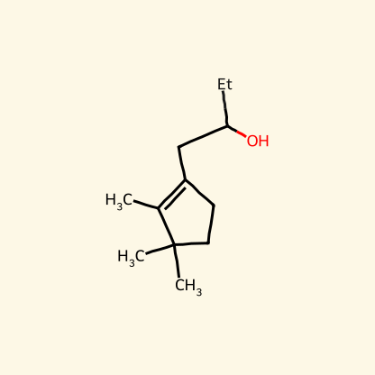 CCC(O)CC1=C(C)C(C)(C)CC1